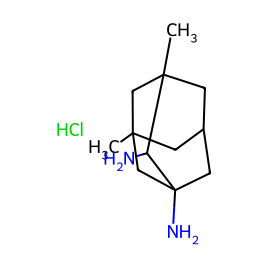 CC12CC3CC(C)(C1)C(N)C(N)(C3)C2.Cl